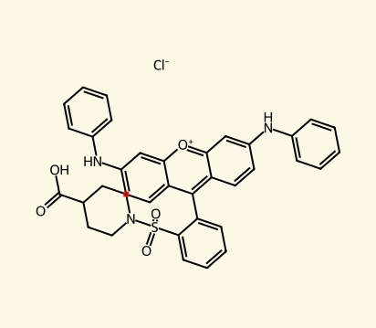 O=C(O)C1CCN(S(=O)(=O)c2ccccc2-c2c3ccc(Nc4ccccc4)cc3[o+]c3cc(Nc4ccccc4)ccc23)CC1.[Cl-]